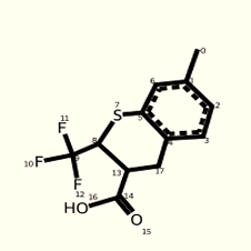 Cc1ccc2c(c1)SC(C(F)(F)F)C(C(=O)O)C2